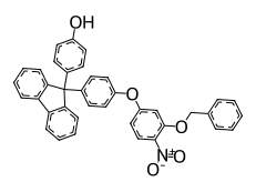 O=[N+]([O-])c1ccc(Oc2ccc(C3(c4ccc(O)cc4)c4ccccc4-c4ccccc43)cc2)cc1OCc1ccccc1